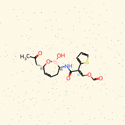 CC(=O)C[C@H]1C=CC[C@H](NC(=O)/C(=C/OC=O)c2cccs2)B(O)O1